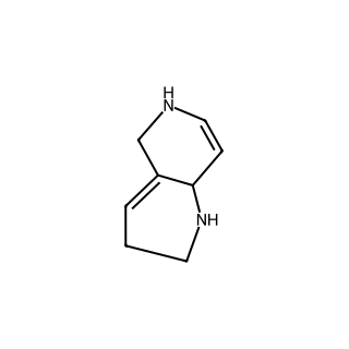 C1=CC2NCCC=C2CN1